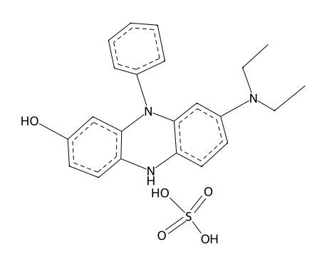 CCN(CC)c1ccc2c(c1)N(c1ccccc1)c1cc(O)ccc1N2.O=S(=O)(O)O